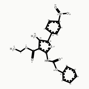 CCOC(=O)c1c(NC(=O)Oc2ccccc2)sc(-c2ccc([N+](=O)[O-])cc2)c1C